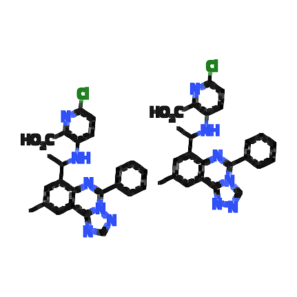 Cc1cc(C(C)Nc2ccc(Cl)nc2C(=O)O)c2nc(-c3ccccc3)n3cnnc3c2c1.Cc1cc(C(C)Nc2ccc(Cl)nc2C(=O)O)c2nc(-c3ccccc3)n3ncnc3c2c1